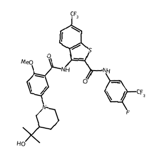 COc1ccc(N2CCCC(C(C)(C)O)C2)cc1C(=O)Nc1c(C(=O)Nc2ccc(F)c(C(F)(F)F)c2)sc2cc(C(F)(F)F)ccc12